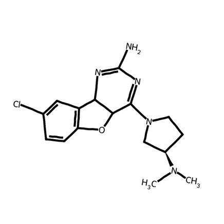 CN(C)[C@@H]1CCN(C2=NC(N)=NC3c4cc(Cl)ccc4OC23)C1